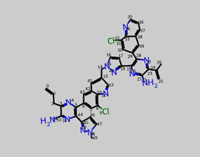 C=CCc1nc(-c2cc(Cl)c3ncc(Cn4ccc(-c5nc(N)c(C(=C)C)nc5-c5cc(Cl)c6ncccc6c5)n4)cc3c2)c(-c2ccn(C)n2)nc1N